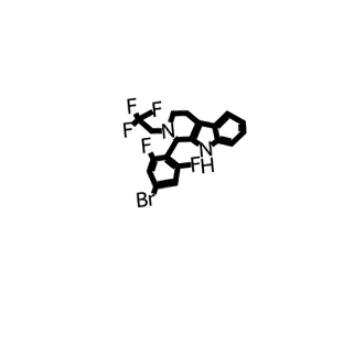 Fc1cc(Br)cc(F)c1C1c2[nH]c3ccccc3c2CCN1CC(F)(F)F